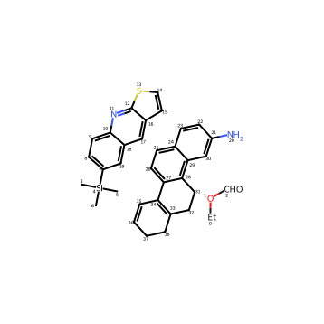 CCOC=O.C[Si](C)(C)c1ccc2nc3sccc3cc2c1.Nc1ccc2ccc3c(c2c1)CCC1=C3C=CCC1